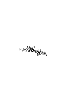 BC(=O)CCC(NC(=O)c1ccc(NCc2cnc3nc(N)[nH]c(=O)c3n2)cc1)C(=O)O